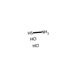 Cl.Cl.NS